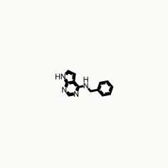 c1ccc(CNc2ncnc3[nH]ccc23)cc1